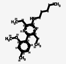 CCCCCNc1nc(CC)c(-c2ccc(C)cc2OC)nc1CC